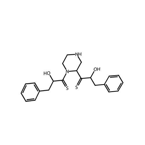 OC(Cc1ccccc1)C(=S)C1CNCCN1C(=S)C(O)Cc1ccccc1